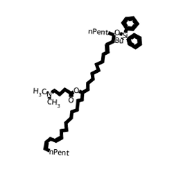 CCCCC/C=C\C/C=C\CCCCCCCCC(CCCCCCCCC=CCC(CCCCC)O[Si](c1ccccc1)(c1ccccc1)C(C)(C)C)OC(=O)CCCN(C)C